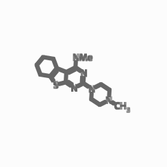 CNc1nc(N2CCN(C)CC2)nc2sc3c(c12)CCCC3